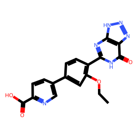 CCOc1cc(-c2ccc(C(=O)O)nc2)ccc1-c1nc2[nH]nnc2c(=O)[nH]1